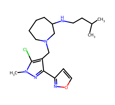 CC(C)CCNC1CCCCN(Cc2c(-c3ccon3)nn(C)c2Cl)C1